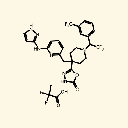 O=C(O)C(F)(F)F.O=c1[nH]nc(C2(Cc3cccc(Nc4cc[nH]n4)n3)CCN(C(c3cccc(C(F)(F)F)c3)C(F)(F)F)CC2)o1